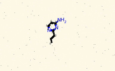 CC=Cc1nccc(N)n1